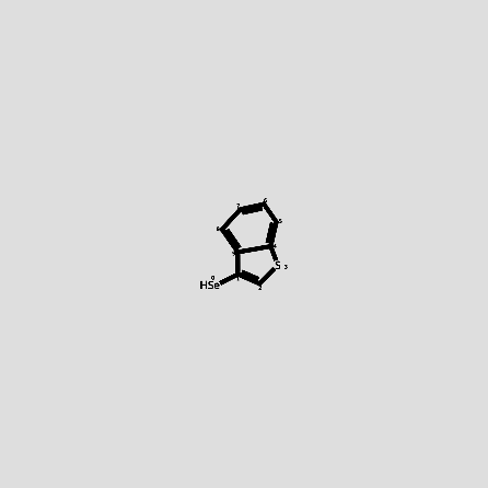 [SeH]c1csc2ccccc12